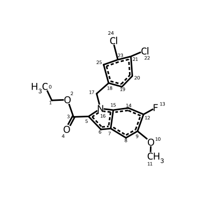 CCOC(=O)c1cc2cc(OC)c(F)cc2n1Cc1ccc(Cl)c(Cl)c1